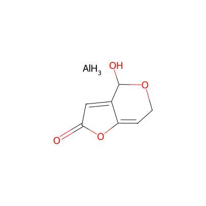 O=C1C=C2C(=CCOC2O)O1.[AlH3]